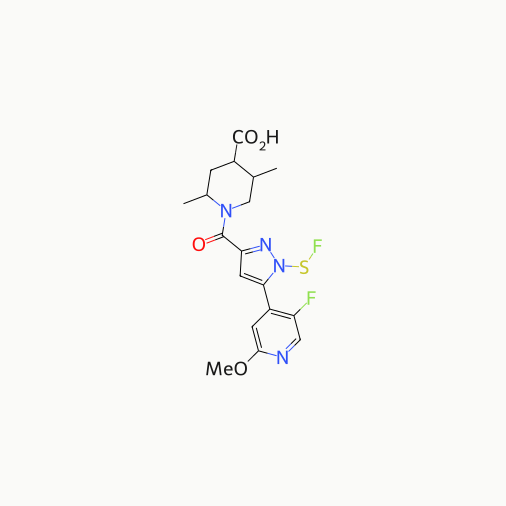 COc1cc(-c2cc(C(=O)N3CC(C)C(C(=O)O)CC3C)nn2SF)c(F)cn1